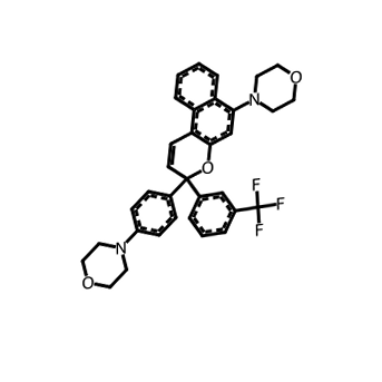 FC(F)(F)c1cccc(C2(c3ccc(N4CCOCC4)cc3)C=Cc3c(cc(N4CCOCC4)c4ccccc34)O2)c1